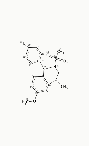 COc1ccc2c(c1)C(C)CN(S(C)(=O)=O)C2c1ccc(I)cc1